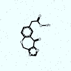 CCCOC(=O)Cc1ccc2c(c1)C(=O)c1ocnc1CO2